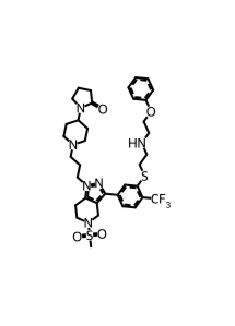 CS(=O)(=O)N1CCc2c(c(-c3ccc(C(F)(F)F)c(SCCNCCOc4ccccc4)c3)nn2CCCN2CCC(N3CCCC3=O)CC2)C1